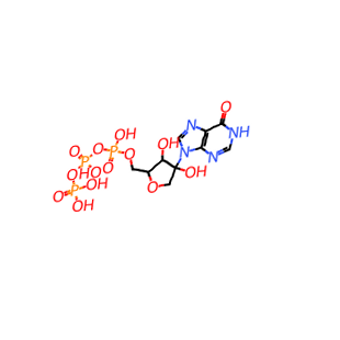 O=c1[nH]cnc2c1ncn2C1(O)COC(COP(=O)(O)OP(=O)(O)OP(=O)(O)O)C1O